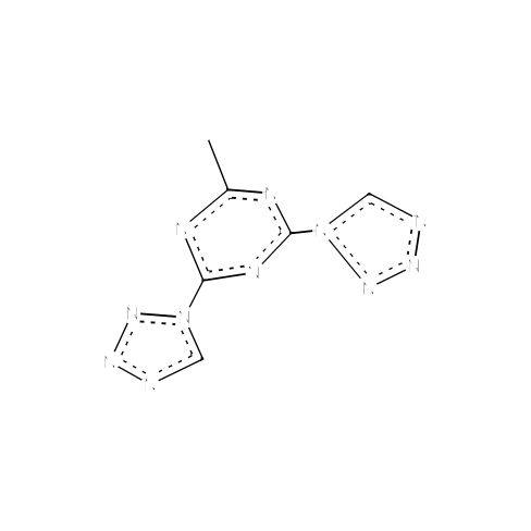 Cc1nc(-n2cnnn2)nc(-n2cnnn2)n1